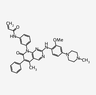 C=CC(=O)Nc1cccc(-n2c(=O)c(-c3ccccc3)c(C)c3cnc(Nc4ccc(N5CCN(C)CC5)cc4OC)nc32)c1